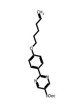 C=CCCCCOc1ccc(-c2ncc(CCCCCCCCCC)cn2)cc1